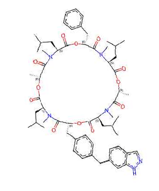 CC(C)C[C@H]1C(=O)O[C@H](Cc2ccc(Cc3ccc4cn[nH]c4c3)cc2)C(=O)N(C)[C@@H](CC(C)C)C(=O)O[C@H](C)C(=O)N(C)[C@@H](CC(C)C)C(=O)O[C@H](Cc2ccccc2)C(=O)N(C)[C@@H](CC(C)C)C(=O)O[C@H](C)C(=O)N1C